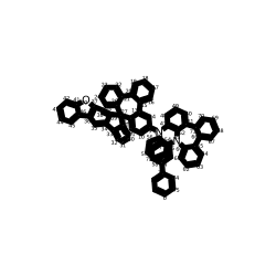 c1ccc(-c2ccc(N(c3ccc4c(c3)-c3ccccc3-c3ccccc3C43c4ccccc4-c4cc5c(cc43)oc3ccccc35)c3cccc4c3N(c3ccccc3)c3ccccc3-c3ccccc3-4)cc2)cc1